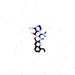 CCc1cccc2cc(CNC(=O)c3nccnc3N)c(N(C)CCN(C)C)nc12